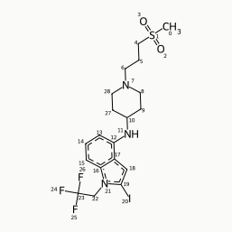 CS(=O)(=O)CCCN1CCC(Nc2cccc3c2cc(I)n3CC(F)(F)F)CC1